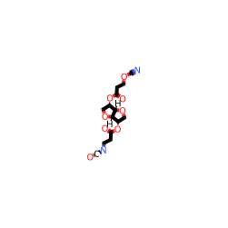 N#COCCC(=O)O[C@H]1CO[C@H]2[C@@H]1OC[C@@H]2OC(=O)CCN=C=O